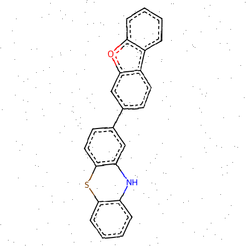 c1ccc2c(c1)Nc1cc(-c3ccc4c(c3)oc3ccccc34)ccc1S2